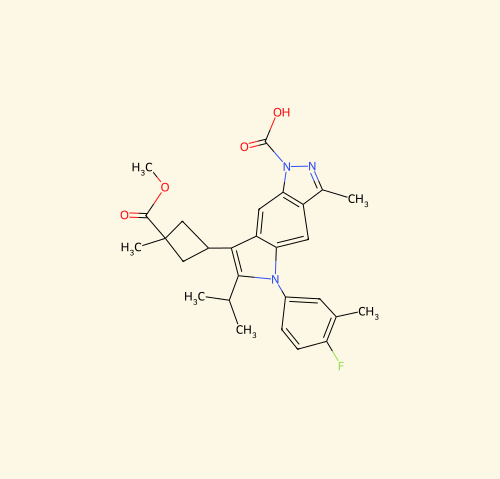 COC(=O)C1(C)CC(c2c(C(C)C)n(-c3ccc(F)c(C)c3)c3cc4c(C)nn(C(=O)O)c4cc23)C1